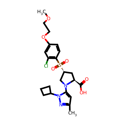 COCCOc1ccc(S(=O)(=O)[C@@H]2C[C@@H](C(=O)O)N(c3cc(C)nn3C3CCC3)C2)c(Cl)c1